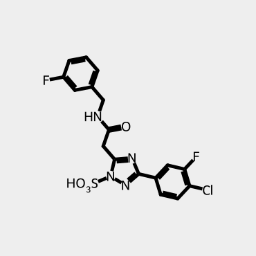 O=C(Cc1nc(-c2ccc(Cl)c(F)c2)nn1S(=O)(=O)O)NCc1cccc(F)c1